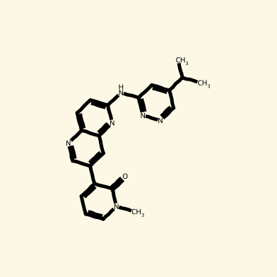 CC(C)c1cnnc(Nc2ccc3ncc(-c4cccn(C)c4=O)cc3n2)c1